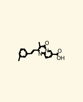 Cc1cccc(C=Cc2nc3ccc(C(=O)O)cn3c(=O)c2C)c1